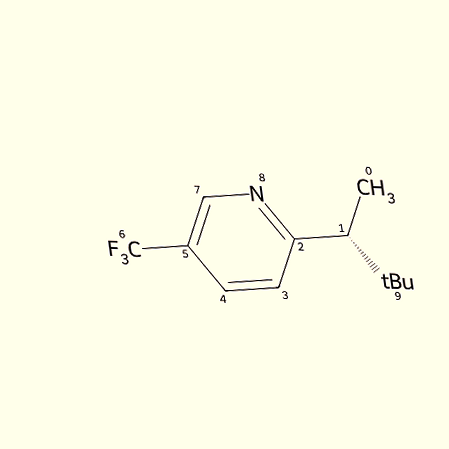 C[C@@H](c1ccc(C(F)(F)F)cn1)C(C)(C)C